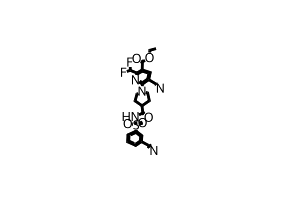 CCOC(=O)c1cc(C#N)c(N2CCC(C(=O)NS(=O)(=O)c3cccc(C#N)c3)CC2)nc1C(F)F